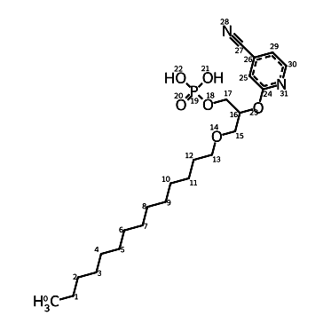 CCCCCCCCCCCCCCOCC(COP(=O)(O)O)Oc1cc(C#N)ccn1